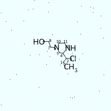 CCC(Cl)C1CN(CCO)CCN1